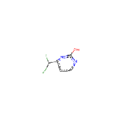 Oc1nccc(C(F)F)n1